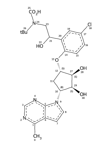 Cc1ncnc2c1ccn2[C@@H]1C[C@H](Oc2ccc(Cl)cc2C(O)CN(C(=O)O)C(C)(C)C)[C@@H](O)[C@H]1O